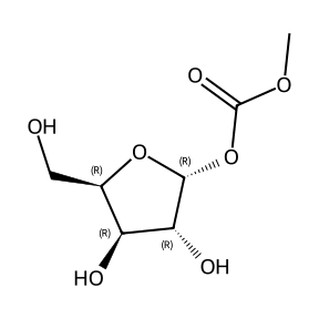 COC(=O)O[C@H]1O[C@H](CO)[C@H](O)[C@H]1O